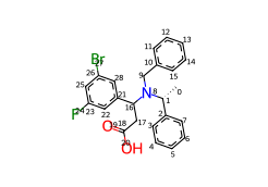 C[C@H](c1ccccc1)N(Cc1ccccc1)C(CC(=O)O)c1cc(F)cc(Br)c1